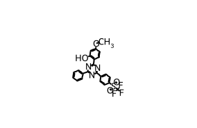 COc1ccc(-c2nc(-c3ccccc3)nc(-c3ccc(S(=O)(=O)C(F)(F)F)cc3)n2)c(O)c1